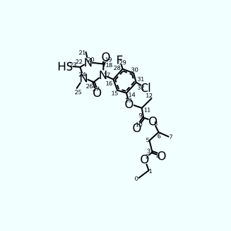 CCOC(=O)CC(C)OC(=O)C(C)Oc1cc(N2C(=O)N(C)C(S)N(C)C2=O)c(F)cc1Cl